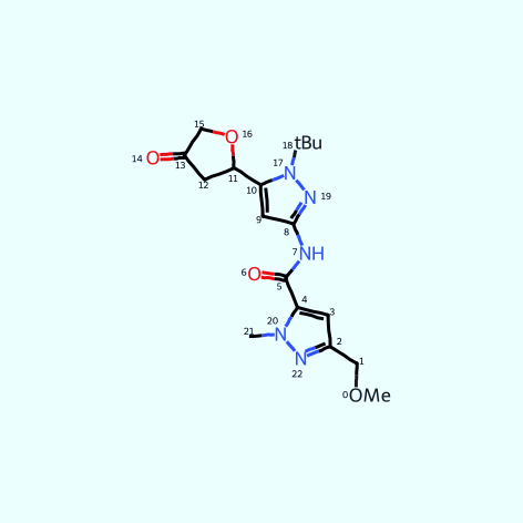 COCc1cc(C(=O)Nc2cc(C3CC(=O)CO3)n(C(C)(C)C)n2)n(C)n1